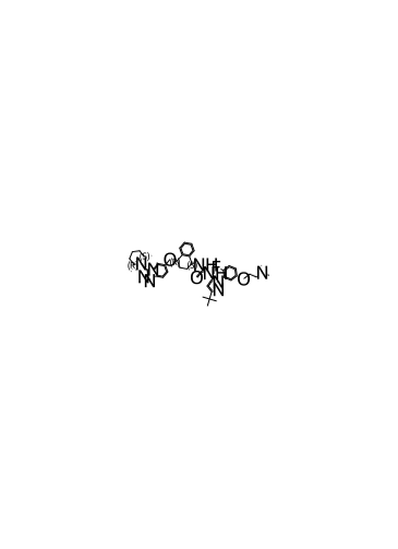 C[C@@H]1CCC[C@H](C)N1c1nnc2ccc(O[C@@H]3CC[C@H](NC(=O)Nc4cc(C(C)(C)C)nn4-c4cc(OCCN(C)C)ccc4F)c4ccccc43)cn12